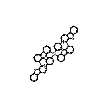 c1ccc([Si](c2ccccc2)(c2cccc3c2oc2c(-c4nccc5c4sc4ccccc45)cccc23)c2cccc3c2sc2c(-c4nccc5c4sc4ccccc45)cccc23)cc1